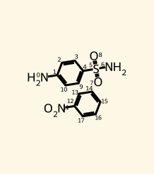 Nc1ccc(S(N)(=O)=O)cc1.O=[N+]([O-])c1ccccc1